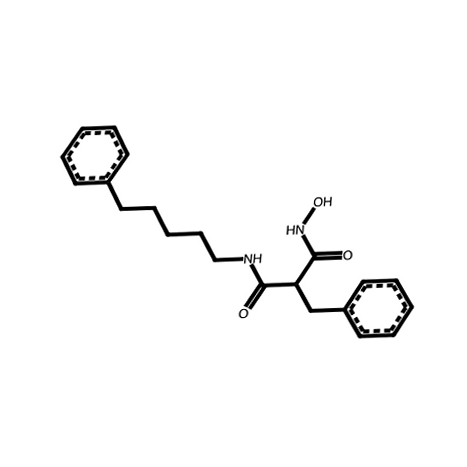 O=C(NO)C(Cc1ccccc1)C(=O)NCCCCCc1ccccc1